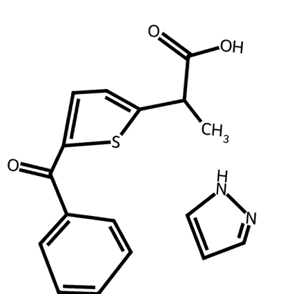 CC(C(=O)O)c1ccc(C(=O)c2ccccc2)s1.c1cn[nH]c1